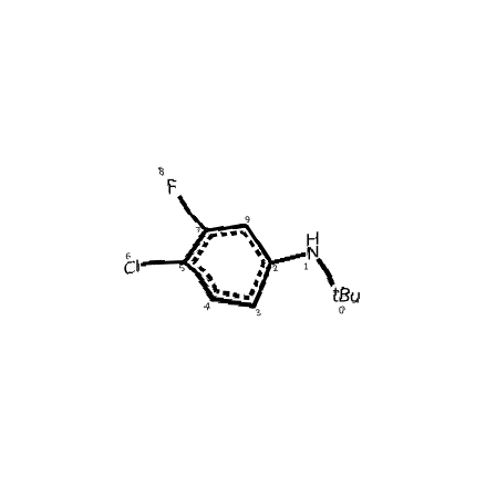 CC(C)(C)Nc1ccc(Cl)c(F)c1